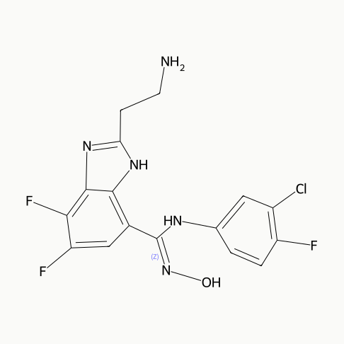 NCCc1nc2c(F)c(F)cc(/C(=N/O)Nc3ccc(F)c(Cl)c3)c2[nH]1